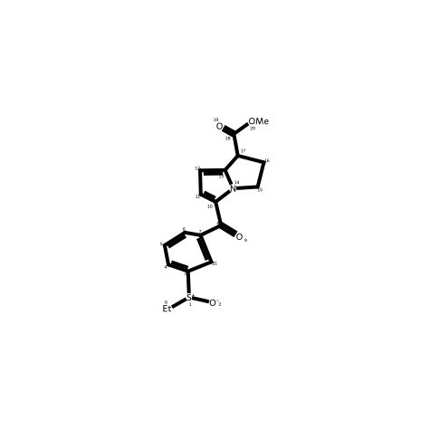 CC[S+]([O-])c1cccc(C(=O)c2ccc3n2CCC3C(=O)OC)c1